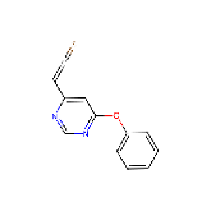 S=C=Cc1cc(Oc2ccccc2)ncn1